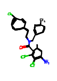 Cc1cc(N)c(Cl)c(Cl)c1C(=O)N(CCc1ccc(Cl)cc1)Cc1ccc(C(F)(F)F)cc1